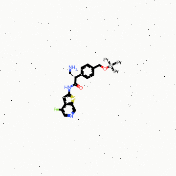 CC(C)[Si](OCc1ccc([C@@H](CN)C(=O)Nc2cc3c(F)cncc3s2)cc1)(C(C)C)C(C)C